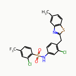 Cc1ccc2sc(Cc3ccc(NS(=O)(=O)c4ccc(C(F)(F)F)cc4Cl)cc3Cl)nc2c1